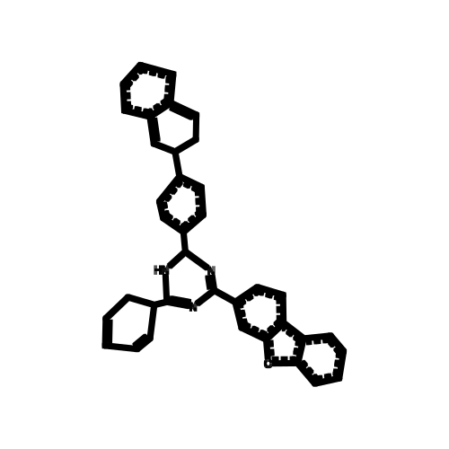 C1=CCC(C2=NC(c3ccc4c(c3)oc3ccccc34)=NC(c3ccc(C4C=c5ccccc5=CC4)cc3)N2)C=C1